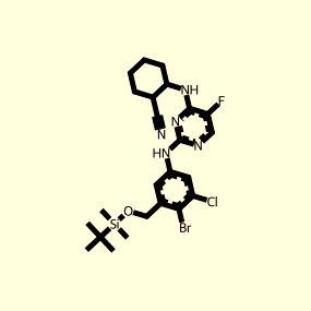 CC(C)(C)[Si](C)(C)OCc1cc(Nc2ncc(F)c(NC3CCCCC3C#N)n2)cc(Cl)c1Br